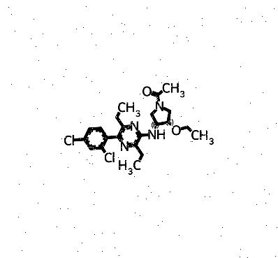 CCO[C@H]1CN(C(C)=O)C[C@H]1Nc1nc(CC)c(-c2ccc(Cl)cc2Cl)nc1CC